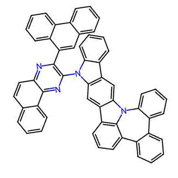 c1ccc2c(c1)-c1ccccc1-n1c3cc4c5ccccc5n(-c5nc6c(ccc7ccccc76)nc5-c5cc6ccccc6c6ccccc56)c4cc3c3cccc-2c31